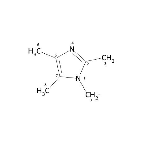 [CH2]n1c(C)nc(C)c1C